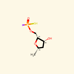 B[C@H]1C[C@@H](O)[C@@H](COP(=O)(S)I)O1